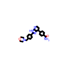 NC(=O)c1ccc(-c2ccnc3[nH]c(-c4ccc(CN5CCOCC5)cc4)nc23)cc1